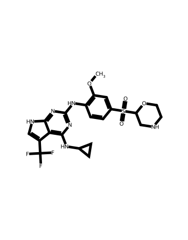 COc1cc(S(=O)(=O)C2CNCCO2)ccc1Nc1nc(NC2CC2)c2c(C(F)(F)F)c[nH]c2n1